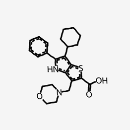 O=C(O)c1sc2c(C3CCCCC3)c(-c3ccccc3)[nH]c2c1CN1CCOCC1